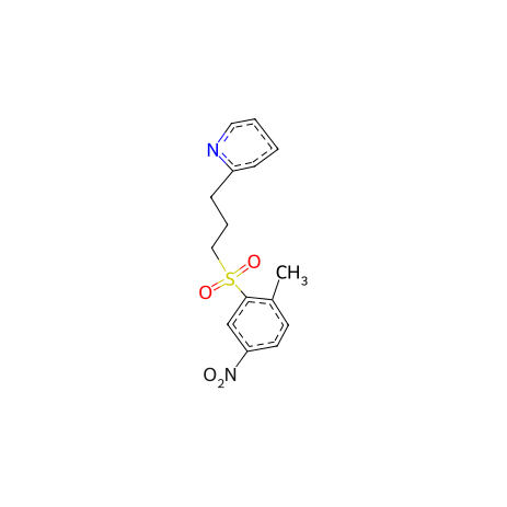 Cc1ccc([N+](=O)[O-])cc1S(=O)(=O)CCCc1ccccn1